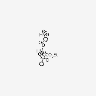 CCOC(=O)c1c(S(=O)(=O)NCCOC(=O)c2cccc(NS(C)(=O)=O)c2)sc(-c2ccccc2)c1Cl